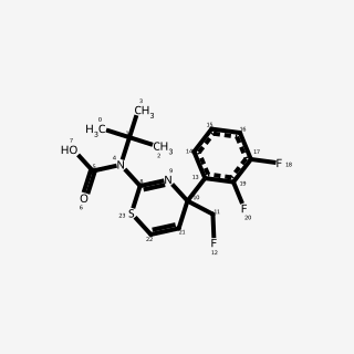 CC(C)(C)N(C(=O)O)C1=NC(CF)(c2cccc(F)c2F)C=CS1